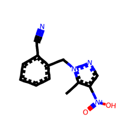 Cc1c([N+](=O)O)cnn1Cc1ccccc1C#N